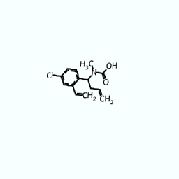 C=CCC(c1ccc(Cl)cc1C=C)N(C)C(=O)O